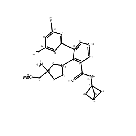 COCC1(N)CCN(c2c(C(=O)NC34CC(C3)C4)cncc2-c2cc(F)cc(F)c2)C1